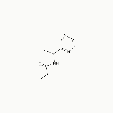 CCC(=O)NC(C)c1cnccn1